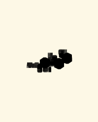 COC(=O)c1ccc(NS(=O)(=O)c2cccc(-c3ccccc3CO)c2)cc1O